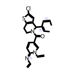 C=C/N=c1/ccc(C(=O)N2CCc3sc(Cl)cc3C2C(/C=C\C)=C/C)cn1C=C